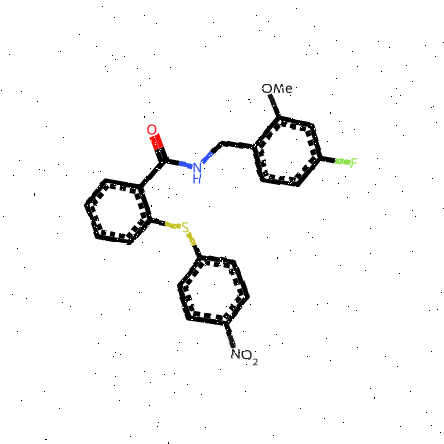 COc1cc(F)ccc1CNC(=O)c1ccccc1Sc1ccc([N+](=O)[O-])cc1